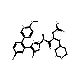 COc1ccc(-c2ccc(F)cc2-c2nc(N(C)C(=O)[C@@H](CC(=O)O)CC3CCOCC3)sc2F)cn1